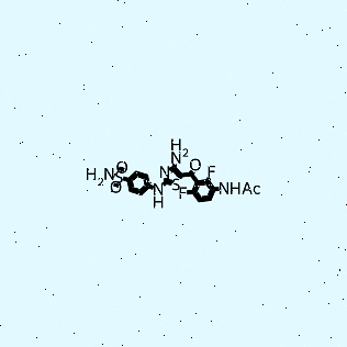 CC(=O)Nc1ccc(F)c(C(=O)c2sc(Nc3ccc(S(N)(=O)=O)cc3)nc2N)c1F